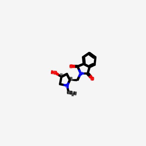 O=C1c2ccccc2C(=O)N1C[C@H]1C[C@H](O)CN1C(=O)O